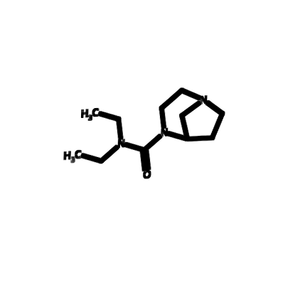 CCN(CC)C(=O)N1CCN2CCC1C2